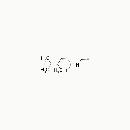 CC(C)C(C)/C=C\C(F)=N/CF